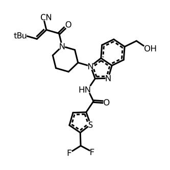 CC(C)(C)C=C(C#N)C(=O)N1CCCC(n2c(NC(=O)c3ccc(C(F)F)s3)nc3cc(CO)ccc32)C1